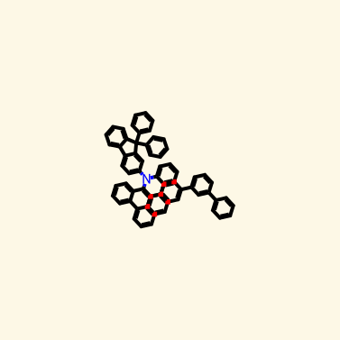 c1ccc(-c2cccc(-c3ccc(-c4c(N(c5ccc6c(c5)C(c5ccccc5)(c5ccccc5)c5ccccc5-6)c5ccccc5-c5ccccc5)c5ccccc5c5ccccc45)cc3)c2)cc1